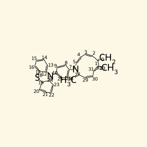 C=C1/C=C\C=C/N(c2ccc(N3c4ccccc4SC4C=CC=CC43)cc2)C(C)/C=C\C=C\1C